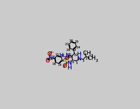 CC(C)CNC[C@@H](NS(=O)(=O)c1ccc([N+](=O)[O-])cc1)[C@@H](N)Cc1ccccc1